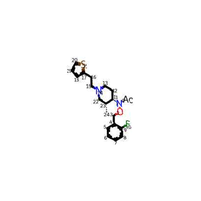 CC(=O)N(OCc1ccccc1F)[C@H]1CCN(CCc2cccs2)C[C@H]1C